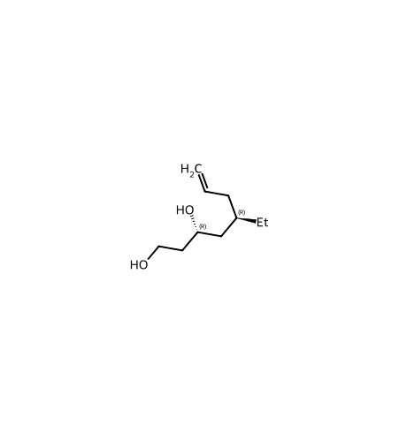 C=CC[C@@H](CC)C[C@@H](O)CCO